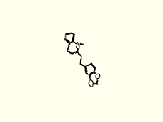 CN1c2ccccc2CCC1CCc1ccc2c(c1)OCO2